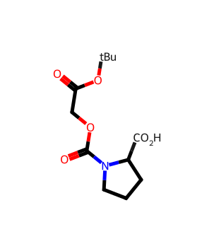 CC(C)(C)OC(=O)COC(=O)N1CCCC1C(=O)O